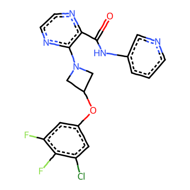 O=C(Nc1cccnc1)c1nccnc1N1CC(Oc2cc(F)c(F)c(Cl)c2)C1